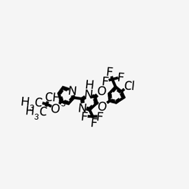 CC(C)(C)Oc1ccnc(-c2nc(C(F)(F)F)c(Oc3ccc(Cl)c(C(F)(F)F)c3)c(=O)[nH]2)c1